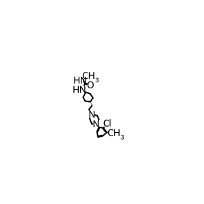 CNC(=O)N[C@H]1CC[C@H](CCN2CCN(c3cccc(C)c3Cl)CC2)CC1